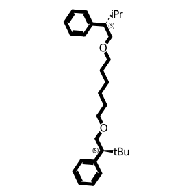 CC(C)[C@H](COCCCCCCOC[C@H](c1ccccc1)C(C)(C)C)c1ccccc1